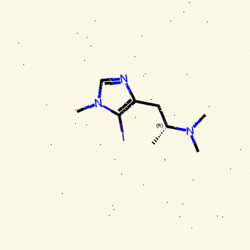 C[C@H](Cc1ncn(C)c1I)N(C)C